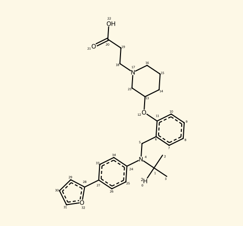 [2H]C(C)(C)N(Cc1ccccc1OC1CCCN(CCC(=O)O)C1)c1ccc(-c2ccco2)cc1